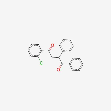 O=C(CC(C(=O)c1ccccc1)c1ccccc1)c1ccccc1Cl